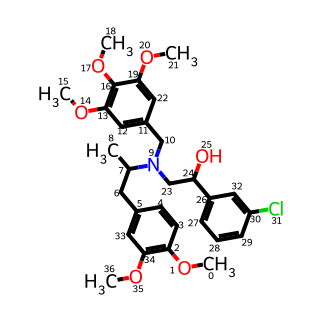 COc1ccc(CC(C)N(Cc2cc(OC)c(OC)c(OC)c2)CC(O)c2cccc(Cl)c2)cc1OC